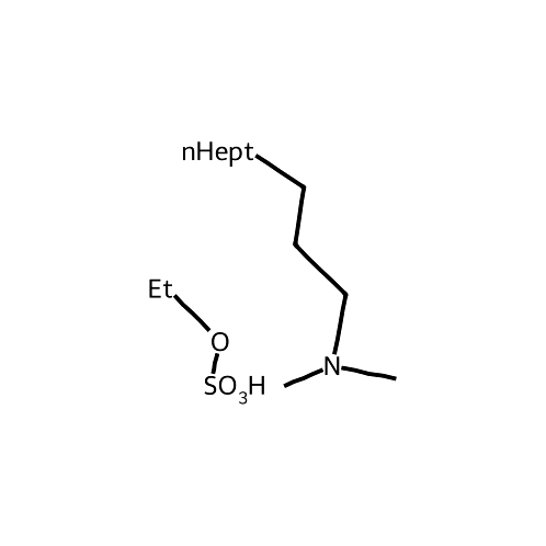 CCCCCCCCCCN(C)C.CCOS(=O)(=O)O